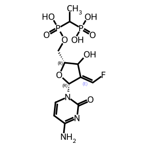 CC(P(=O)(O)O)P(=O)(O)OC[C@H]1O[C@@H](n2ccc(N)nc2=O)/C(=C/F)C1O